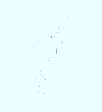 COc1ccc(CCC(=O)Oc2ccc(/C=C/C(=O)O)cc2CC=C(C)C)cc1